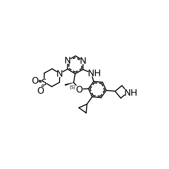 C[C@@H]1Oc2c(cc(C3CNC3)cc2C2CC2)Nc2ncnc(N3CCS(=O)(=O)CC3)c21